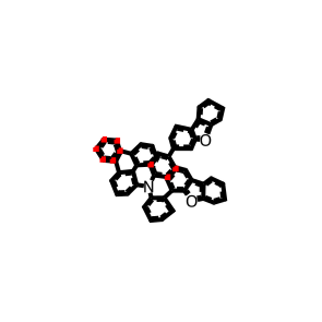 c1ccc(-c2ccccc2-c2c(-c3ccccc3)cccc2N(c2ccc(-c3ccc4c(c3)oc3ccccc34)cc2)c2ccccc2-c2cccc3c2oc2ccccc23)cc1